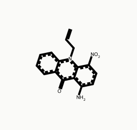 C=CCn1c2ccccc2c(=O)c2c(N)ccc([N+](=O)[O-])c21